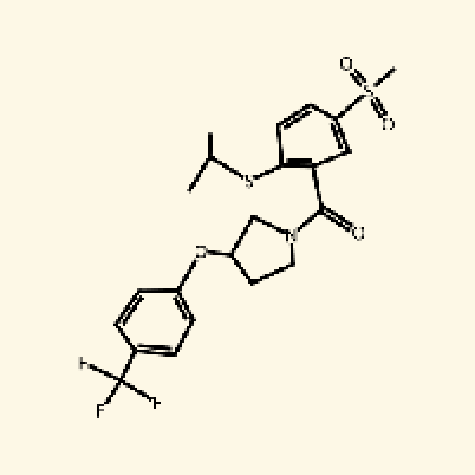 CC(C)Sc1ccc(S(C)(=O)=O)cc1C(=O)N1CCC(Oc2ccc(C(F)(F)F)cc2)C1